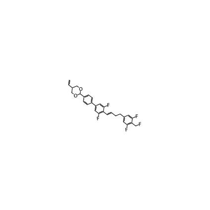 C=CC1COC(c2ccc(-c3cc(F)c(/C=C/CCc4cc(F)c(CF)c(F)c4)c(F)c3)cc2)OC1